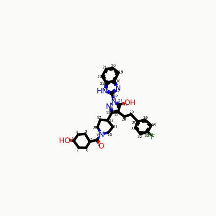 O=C(C1CCC(O)CC1)N1CCC(c2nn(-c3nc4ccccc4[nH]3)c(O)c2CCc2ccc(F)cc2)CC1